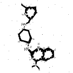 Cc1cccc(CN[C@H]2CC[C@@H](Nc3nc(N(C)C)c4ccccc4n3)CC2)n1